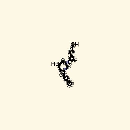 C/C(=C\c1cc(F)cc(N2CCN(CCO)CC2)c1)[C@H]1OC(=O)C[C@H](O)CC[C@H](C)[C@H](OC(=O)N2CCC(N3CCCCC3)CC2)/C=C/[C@@H]1C